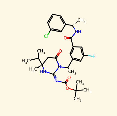 CC(C)[C@]1(C)CC(=O)N([C@H](C)c2cc(F)cc(C(=O)N[C@@H](C)c3cccc(Cl)c3)c2)/C(=N\C(=O)OC(C)(C)C)N1